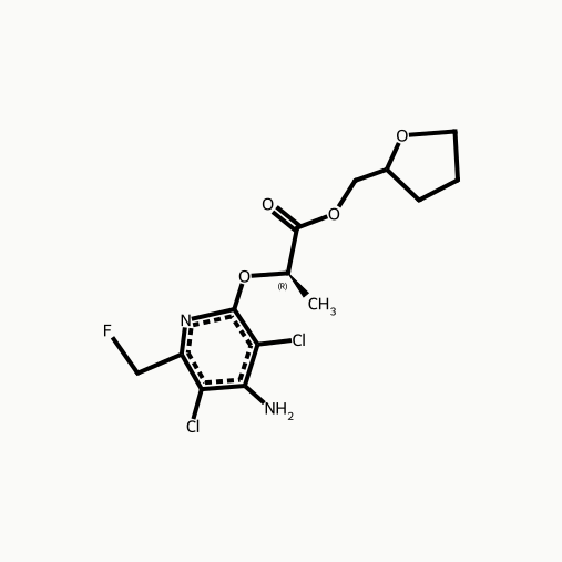 C[C@@H](Oc1nc(CF)c(Cl)c(N)c1Cl)C(=O)OCC1CCCO1